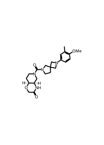 COc1ccc(N2CC3(CCN(C(=O)N4CC[C@@H]5OCC(=O)N[C@@H]5C4)C3)C2)cc1C